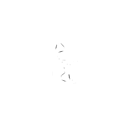 COc1ccc(O)c(C2CN(Cc3ccccc3)CC2CO)c1